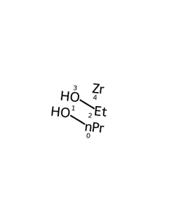 CCCO.CCO.[Zr]